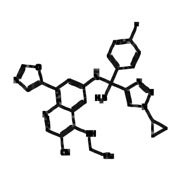 BC(Nc1cc(-c2cnco2)c2ncc(C#N)c(NCC(C)(C)C)c2c1)(c1ccc(F)cc1)c1cn(C2CC2)nn1